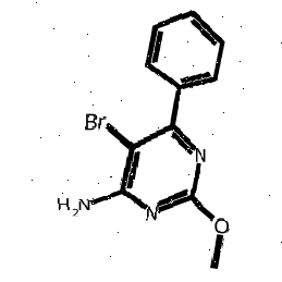 COc1nc(N)c(Br)c(-c2ccccc2)n1